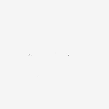 C#CCn1nc(C(=O)OC)c2ccccc21